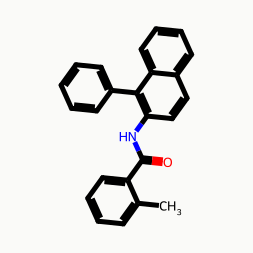 Cc1ccccc1C(=O)Nc1ccc2ccccc2c1-c1ccccc1